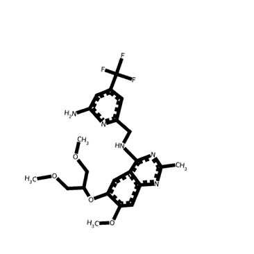 COCC(COC)Oc1cc2c(NCc3cc(C(F)(F)F)cc(N)n3)nc(C)nc2cc1OC